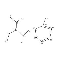 CCN(C(C)C)C(C)C.Cc1ccccc1